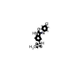 CCS(=O)(=O)Nc1ccc2c(c1)/C(=N/c1ccc(Cl)cc1)C(=O)N2